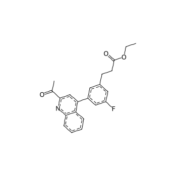 CCOC(=O)CCc1cc(F)cc(-c2cc(C(C)=O)nc3ccccc23)c1